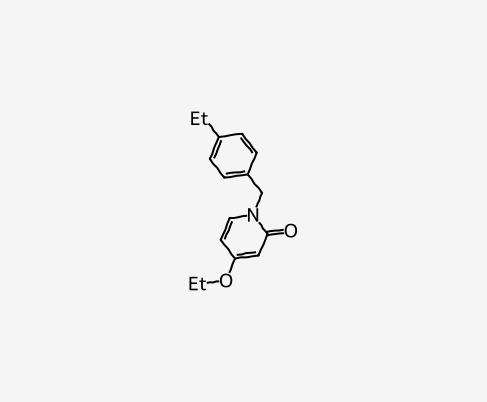 CCOc1ccn(Cc2ccc(CC)cc2)c(=O)c1